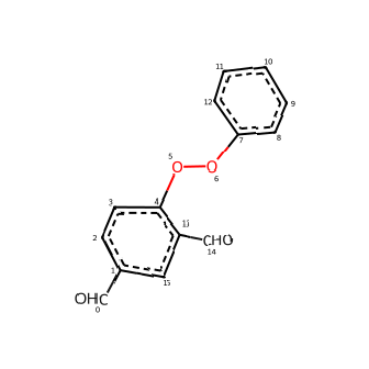 O=Cc1ccc(OOc2ccccc2)c(C=O)c1